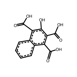 O=C(O)c1c(O)c(C(=O)O)c2ccccc2c1C(=O)O